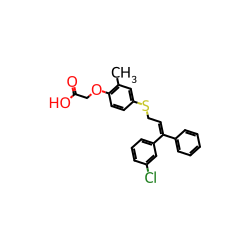 Cc1cc(SC/C=C(/c2ccccc2)c2cccc(Cl)c2)ccc1OCC(=O)O